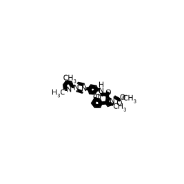 COC(=O)Cn1c(C)cc(-c2ccccc2)c1C(=O)C(=O)Nc1ccc(N2CCN(c3cc(C)cc(C)n3)CC2)cc1Cl